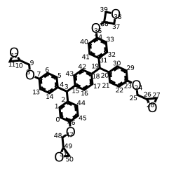 c1cc(C(c2ccc(OCC3CO3)cc2)c2ccc(C(c3ccc(OCC4CO4)cc3)c3ccc(OC4COC4)cc3)cc2)ccc1OCC1CO1